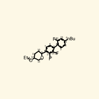 CCCCc1ccc(-c2ccc(C3CCC(OCC)CO3)c(F)c2F)c(F)c1